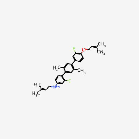 CC(C)=CCNc1ccc(-c2cc(C)c(-c3ccc(OCC=C(C)C)c(F)c3)cc2C)c(F)c1